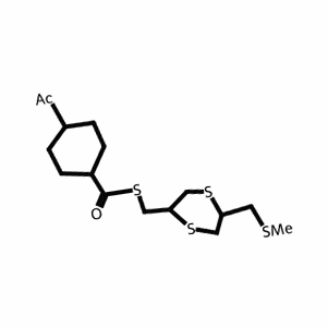 CSCC1CSC(CSC(=O)C2CCC(C(C)=O)CC2)CS1